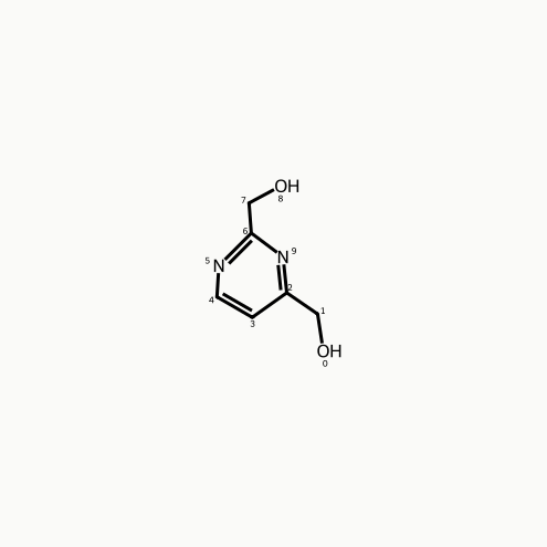 OCc1ccnc(CO)n1